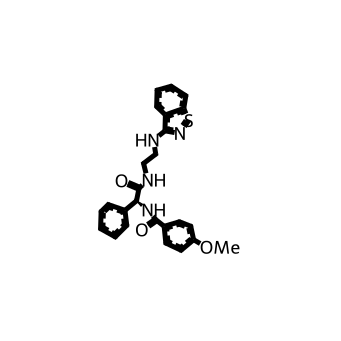 COc1ccc(C(=O)N[C@H](C(=O)NCCNc2nsc3ccccc23)c2ccccc2)cc1